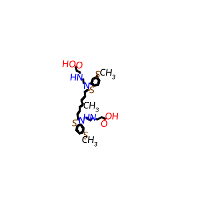 CSc1ccc2c(c1)N(CCNCCC(=O)O)/C(=C/C=C/C(C)=C/C=C/c1sc3ccc(SC)cc3[n+]1CCNCCC(=O)O)S2